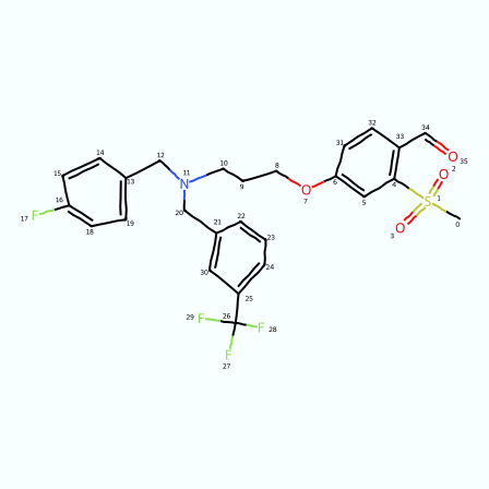 CS(=O)(=O)c1cc(OCCCN(Cc2ccc(F)cc2)Cc2cccc(C(F)(F)F)c2)ccc1C=O